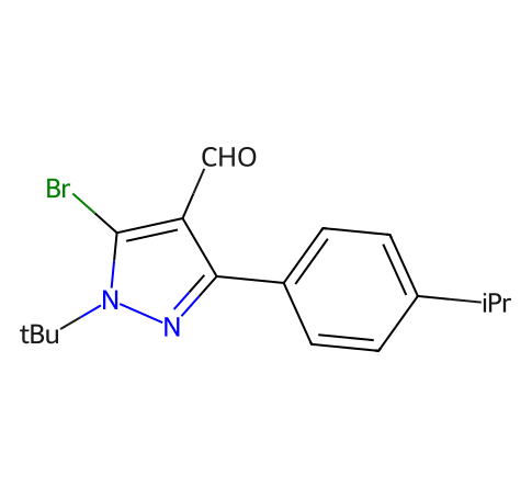 CC(C)c1ccc(-c2nn(C(C)(C)C)c(Br)c2C=O)cc1